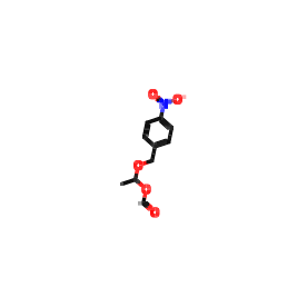 CC(O[C]=O)OCc1ccc([N+](=O)[O-])cc1